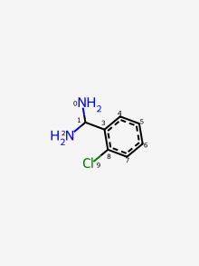 NC(N)c1ccccc1Cl